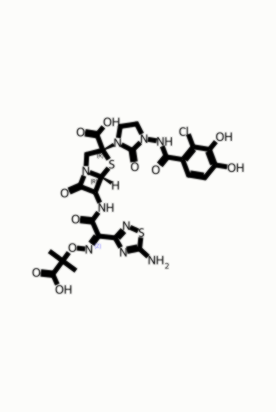 CC(C)(O/N=C(\C(=O)NC1C(=O)N2C[C@@](C(=O)O)(N3CCN(NC(=O)c4ccc(O)c(O)c4Cl)C3=O)S[C@H]12)c1nsc(N)n1)C(=O)O